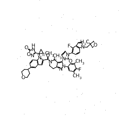 Cc1cc(-n2nc3c(c2-n2ccn(-c4ccc5c(ccn5CC5(C)COC5)c4F)c2=O)[C@H](C)N(C(=O)c2cc4cc(C5CCOCC5)ccc4n2[C@@]2(c4noc(=O)[nH]4)C[C@@H]2C)CC3)cc(C)c1F